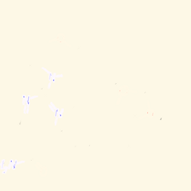 NC(=O)c1cnc(N2CCOCC2)nc1[CH]c1ccc2c(c1)OCO2